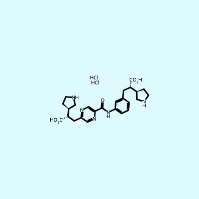 Cl.Cl.O=C(Nc1cccc(C[C@H](C(=O)O)[C@H]2CCNC2)c1)c1cnc(C[C@H](C(=O)O)[C@H]2CCNC2)cn1